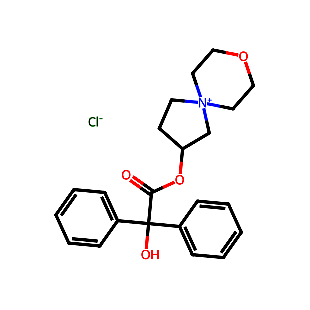 O=C(OC1CC[N+]2(CCOCC2)C1)C(O)(c1ccccc1)c1ccccc1.[Cl-]